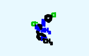 C[n+]1ccc(Cn2ncc(/N=N/c3ccc(Cl)cc3)c2N)cc1.[Cl-]